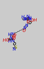 Cc1ncsc1-c1ccc(CNC(=O)[C@@H]2C[C@@H](O)CN2C(=O)C(NC(=O)CCCCCCCC(=O)N2CCN(CCOc3cccc(N4C5CCC4CN(c4cc(-c6ccccc6O)nnc4N)C5)c3)CC2)C(C)(C)C)cc1